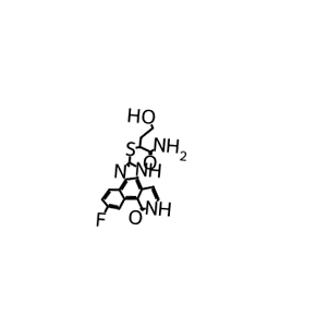 NC(=O)C(CCO)Sc1nc2c3ccc(F)cc3c3c(=O)[nH]ccc3c2[nH]1